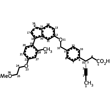 CC#C[C@@H](CC(=O)O)c1ccc(COc2ccc3scc(-c4ccc(OCCOC)cc4C)c3c2)cc1